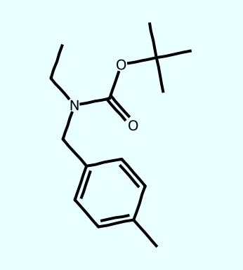 CCN(Cc1ccc(C)cc1)C(=O)OC(C)(C)C